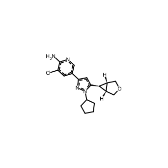 Nc1ncc(-c2cc([C@H]3[C@@H]4COC[C@@H]43)n(C3CCCC3)n2)cc1Cl